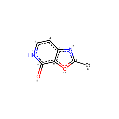 CCc1nc2cc[nH]c(=O)c2o1